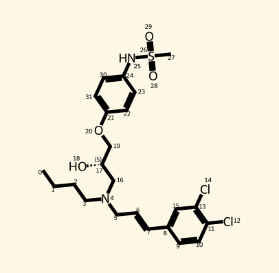 CCCCN(CC=Cc1ccc(Cl)c(Cl)c1)C[C@H](O)COc1ccc(NS(C)(=O)=O)cc1